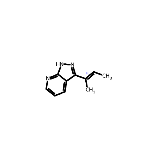 C/C=C(\C)c1n[nH]c2ncccc12